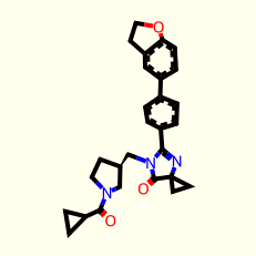 O=C(C1CC1)N1CC[C@@H](CN2C(=O)C3(CC3)N=C2c2ccc(-c3ccc4c(c3)CCO4)cc2)C1